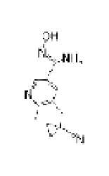 Cc1ncc(C(N)=NO)cc1CC1(C#N)CC1